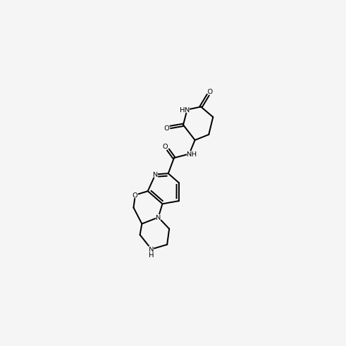 O=C1CCC(NC(=O)c2ccc3c(n2)OCC2CNCCN32)C(=O)N1